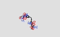 Cn1c(=O)n(C2CCC(=O)NC2=O)c2ccc(CCCCCNC(=O)[C@@H]3CC[C@@H](NC(=O)OC(C)(C)C)CO3)cc21